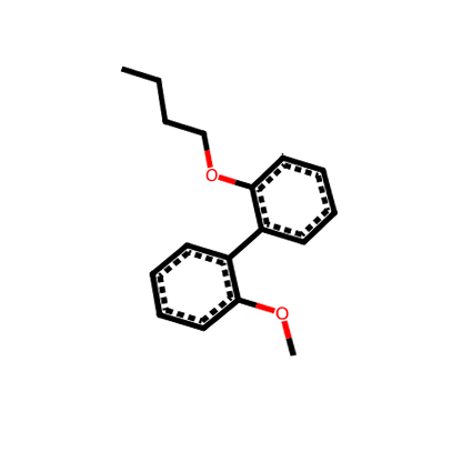 CCCCOc1[c]cccc1-c1ccccc1OC